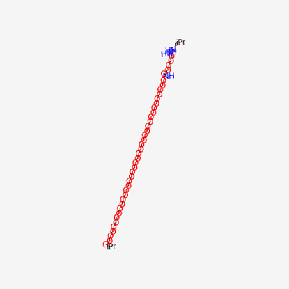 CC(C)CCCCN/C=C(/COCCOCCOCCOCCC(=O)NCCOCCOCCOCCOCCOCCOCCOCCOCCOCCOCCOCCOCCOCCOCCOCCOCCOCCOCCOCCOCCOCCOCCOCCOCCOCCOCCOCCOCCOCCOCCOCCOCCOCCOCCOCCOCCC(=O)C(C)C)N=N